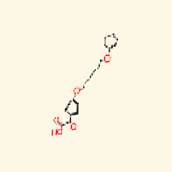 O=C(O)C(=O)c1ccc(OCCCCCCOc2ccccc2)cc1